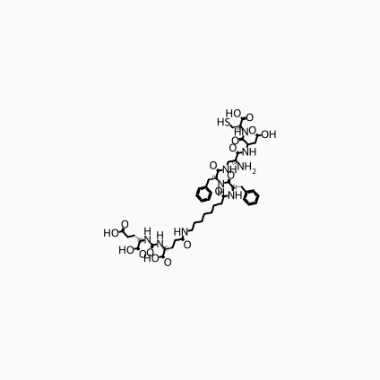 N[C@@H](CNC(=O)[C@H](Cc1ccccc1)NC(=O)[C@H](Cc1ccccc1)NC(=O)CCCCCCCNC(=O)CC[C@H](NC(=O)N[C@@H](CCC(=O)O)C(=O)O)C(=O)O)C(=O)NC(CC(=O)O)C(=O)N[C@@H](CS)C(=O)O